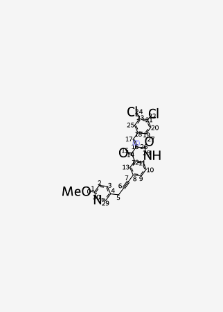 COc1ccc(CC#Cc2ccc3c(c2)C(=O)/C(=C/c2ccc(Cl)c(Cl)c2)C(=O)N3)cn1